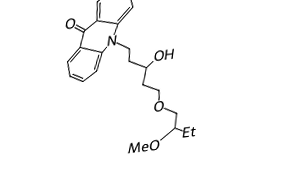 CCC(COCCC(O)CCn1c2ccccc2c(=O)c2ccccc21)OC